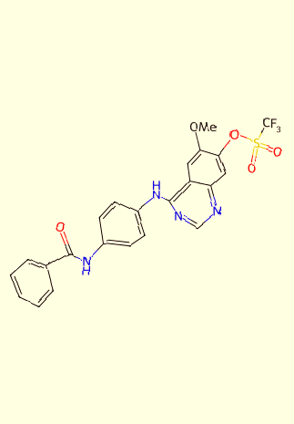 COc1cc2c(Nc3ccc(NC(=O)c4ccccc4)cc3)ncnc2cc1OS(=O)(=O)C(F)(F)F